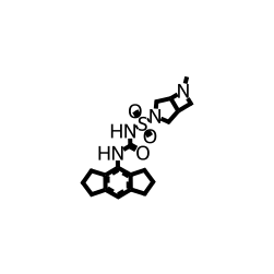 CN1CC2CN(S(=O)(=O)NC(=O)Nc3c4c(cc5c3CCC5)CCC4)CC21